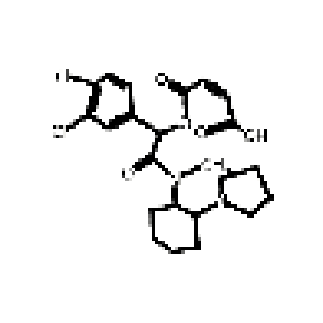 CN(C(=O)C(OC(=O)/C=C\C(=O)O)c1ccc(Cl)c(Cl)c1)C1CCCCC1N1CCCC1